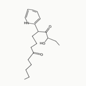 CCCCCC(=O)CCCC(C(=O)C(O)CC)C1=CC=CC=CN1